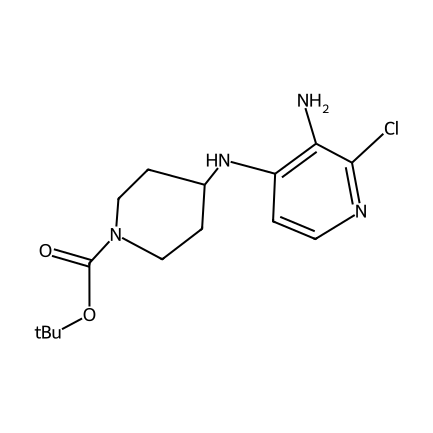 CC(C)(C)OC(=O)N1CCC(Nc2ccnc(Cl)c2N)CC1